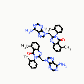 Cc1cccc2nc(Cn3cnc4c(N)ncnc43)n(-c3ccccc3C(C)C)c(=O)c12.Cc1ccccc1-n1c(Cn2cnc3c(N)ncnc32)nc2cccc(C)c2c1=O